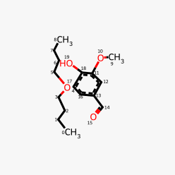 CCCCOCCCC.COc1cc(C=O)ccc1O